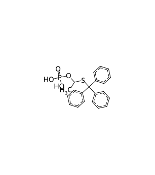 CC(OP(=O)(O)O)SC(c1ccccc1)(c1ccccc1)c1ccccc1